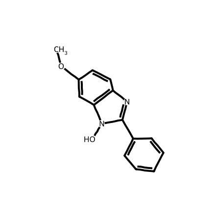 COc1ccc2nc(-c3ccccc3)n(O)c2c1